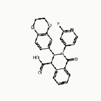 O=C(O)C1c2ccccc2C(=O)N(c2ccnc(F)c2)C1c1ccc2c(c1)OCCO2